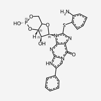 Nc1ccccc1Sc1nc2c(=O)n3cc(-c4ccccc4)[nH]c3nc2n1[C@@H]1OC2CO[P@@](O)O[C@H]2[C@@H]1O